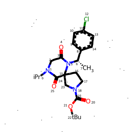 CC(C)N1CC(=O)N([C@@H](C)c2ccc(Cl)cc2)C2(CCN(C(=O)OC(C)(C)C)C2)C1=O